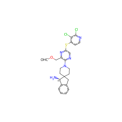 N[C@@H]1c2ccccc2CC12CCN(c1ncc(Sc3ccnc(Cl)c3Cl)nc1COC=O)CC2